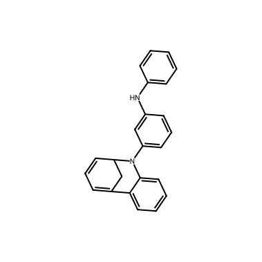 C1=CC2CC(=C1)c1ccccc1N2c1cccc(Nc2ccccc2)c1